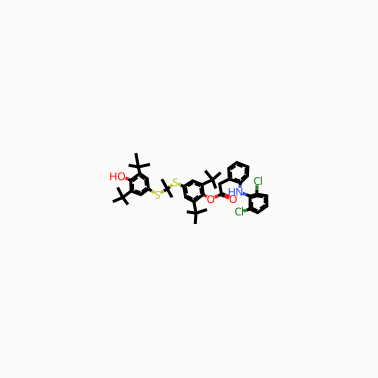 CC(C)(Sc1cc(C(C)(C)C)c(O)c(C(C)(C)C)c1)Sc1cc(C(C)(C)C)c(OC(=O)Cc2ccccc2Nc2c(Cl)cccc2Cl)c(C(C)(C)C)c1